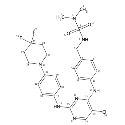 CN(C)S(=O)(=O)NCc1ccc(Nc2nc(Nc3ccc(N4CCC(F)(F)CC4)cc3)ncc2Cl)cc1